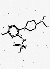 Cc1ccc(N2CCC(N(C)C)CC2)c(NS(C)(=O)=O)c1